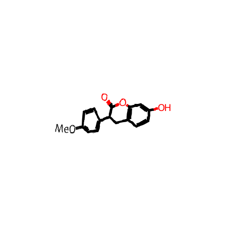 COc1ccc(C2Cc3ccc(O)cc3OC2=O)cc1